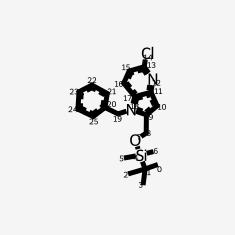 CC(C)(C)[Si](C)(C)OCc1cc2nc(Cl)ccc2n1Cc1ccccc1